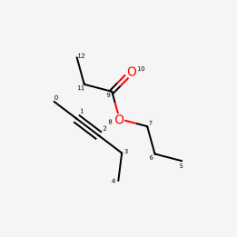 CC#CCC.CCCOC(=O)CC